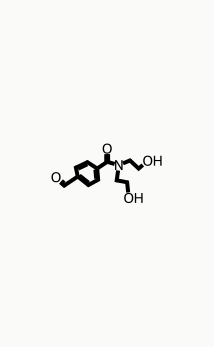 O=Cc1ccc(C(=O)N(CCO)CCO)cc1